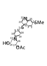 CSc1ccc2c(SCc3ccc(N(CCO)CCOC(C)=O)cc3)ccnc2c1